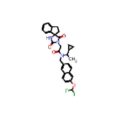 CC(C1CC1)N(Cc1ccc2cc(OC(F)F)ccc2c1)C(=O)CN1C(=O)NC2(CCc3ccccc32)C1=O